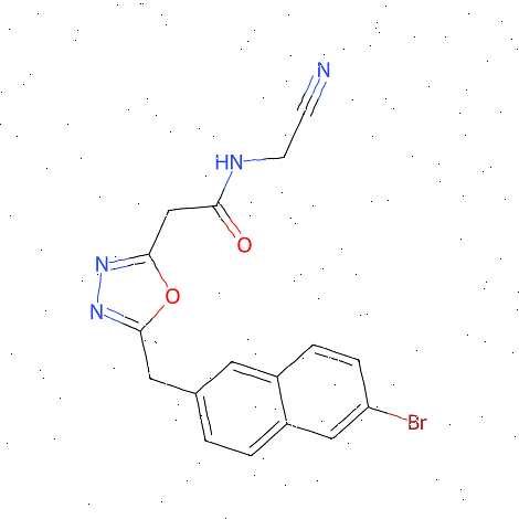 N#CCNC(=O)Cc1nnc(Cc2ccc3cc(Br)ccc3c2)o1